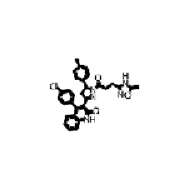 C=C1NC(CCC(=O)N2N=C(c3c(-c4ccc(Cl)cc4)c4ccccc4[nH]c3=O)CC2c2ccc(C)cc2)=NO1